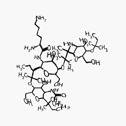 CC/C(=C1/OC(CO)C(OC(C)(C)C2(C)NC3C(O)C(OC(C)(C)CC)C(CO)OC32)C(O)C1NC(=O)[C@@H](N)CCCCN)C(C)(C)OC1C(CO)OC(C(C)(C)CC)C(NC(C)=O)C1O